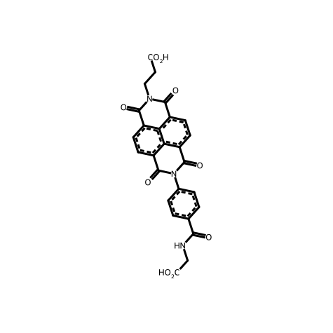 O=C(O)CCN1C(=O)c2ccc3c4c(ccc(c24)C1=O)C(=O)N(c1ccc(C(=O)NCC(=O)O)cc1)C3=O